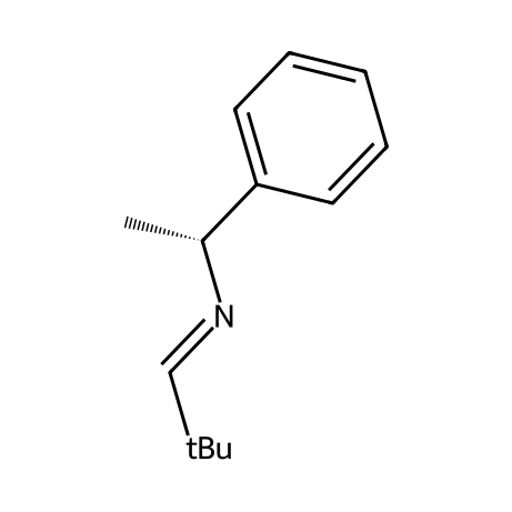 C[C@@H](/N=C/C(C)(C)C)c1ccccc1